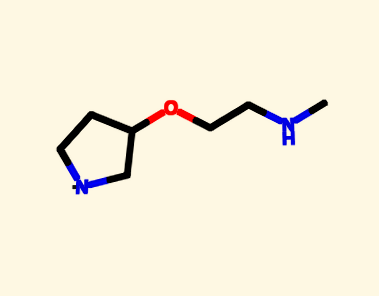 CNCCOC1CC[N]C1